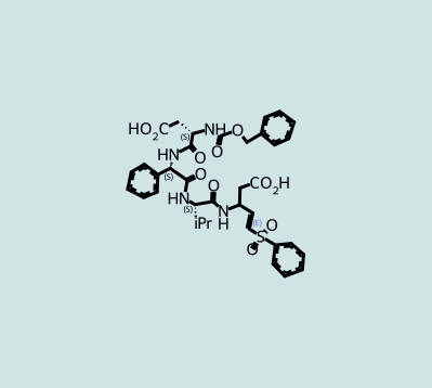 CC(C)[C@H](NC(=O)[C@@H](NC(=O)[C@H](CC(=O)O)NC(=O)OCc1ccccc1)c1ccccc1)C(=O)NC(/C=C/S(=O)(=O)c1ccccc1)CC(=O)O